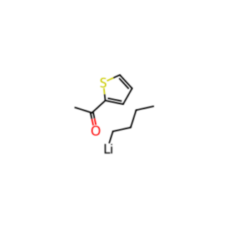 CC(=O)c1cccs1.[Li][CH2]CCC